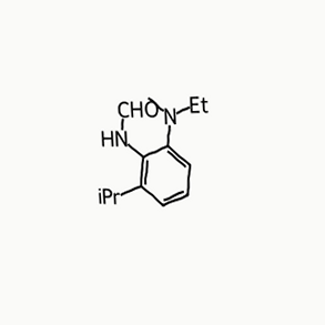 CCN(C)c1cccc(C(C)C)c1NC=O